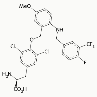 COc1ccc(NCc2ccc(F)c(C(F)(F)F)c2)c(COc2c(Cl)cc(C[C@H](N)C(=O)O)cc2Cl)c1